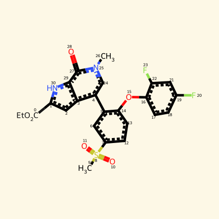 CCOC(=O)c1cc2c(-c3cc(S(C)(=O)=O)ccc3Oc3ccc(F)cc3F)cn(C)c(=O)c2[nH]1